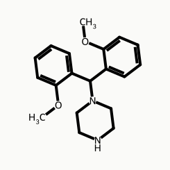 COc1ccccc1C(c1ccccc1OC)N1CCNCC1